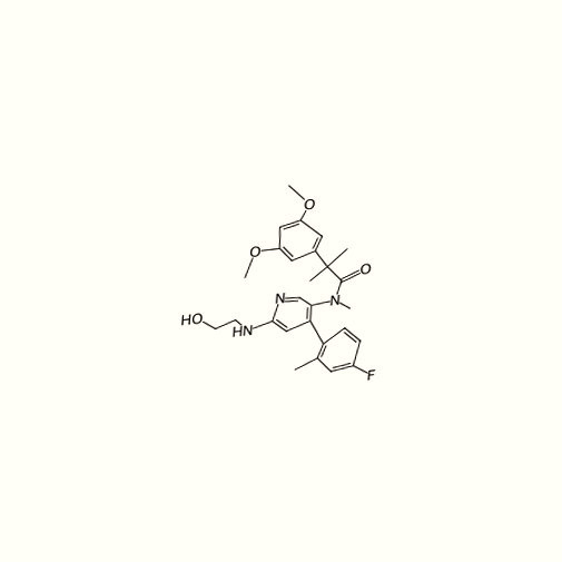 COc1cc(OC)cc(C(C)(C)C(=O)N(C)c2cnc(NCCO)cc2-c2ccc(F)cc2C)c1